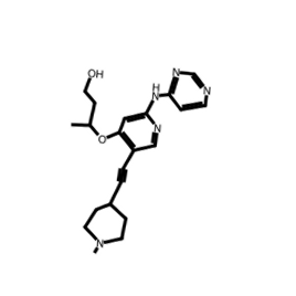 CC(CCO)Oc1cc(Nc2ccncn2)ncc1C#CC1CCN(C)CC1